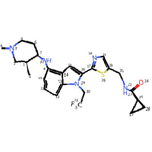 C[C@H]1CN(C)CC[C@H]1Nc1cccc2c1cc(-c1ncc(CNC(=O)C3CC3)s1)n2CC(F)(F)F